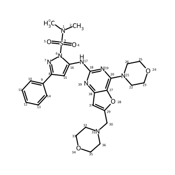 CN(C)S(=O)(=O)n1nc(-c2ccccc2)cc1Nc1nc(N2CCOCC2)c2oc(CN3CCOCC3)cc2n1